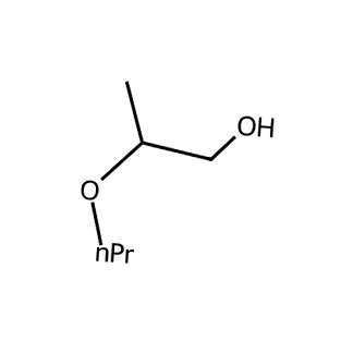 C[CH]COC(C)CO